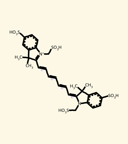 CC1(C)C(/C=C/C=C/C=C/C=C2/N(CS(=O)(=O)O)c3ccc(S(=O)(=O)O)cc3C2(C)C)=[N+](CS(=O)(=O)O)c2ccc(S(=O)(=O)O)cc21